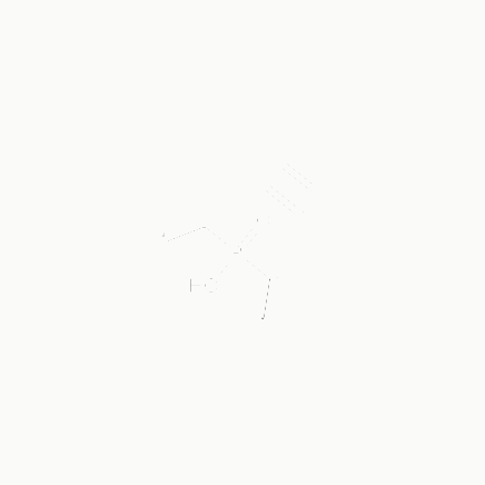 C=C.C=C.CCP(=O)(O)CC